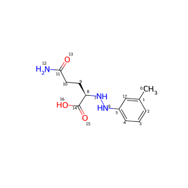 Cc1cccc(NN[C@H](CCC(N)=O)C(=O)O)c1